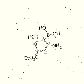 CCOC(=O)c1ccc(B(O)O)c(N)c1.Cl